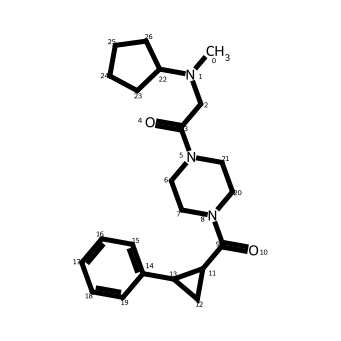 CN(CC(=O)N1CCN(C(=O)C2CC2c2ccccc2)CC1)C1CCCC1